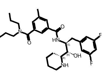 CCCN(CCC)C(=O)c1cc(C)cc(C(=O)N[C@@H](Cc2cc(F)cc(F)c2)[C@H](O)[C@H]2CCCCN2)c1